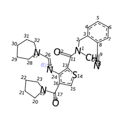 CN(Cc1ccccc1C#N)C(=O)c1scc(C(=O)N2CCCC2)c1/N=C/N1CCCCC1